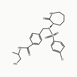 CC(CO)NC(=O)c1ccc(CN([C@@H]2CCCCNC2=O)S(=O)(=O)c2ccc(Cl)cc2)cc1